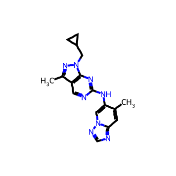 Cc1cc2ncnn2cc1Nc1ncc2c(C)nn(CC3CC3)c2n1